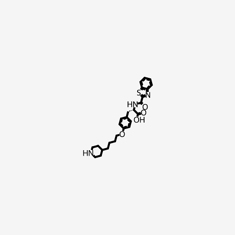 O=C(N[C@@H](Cc1ccc(OCCCCC2CCNCC2)cc1)C(=O)O)c1nc2ccccc2s1